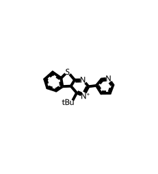 CC(C)(C)C1=[N+]=C(c2cccnc2)N=C2Sc3ccccc3C21